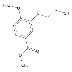 COC(=O)c1ccc(OC)c(NCCS)c1